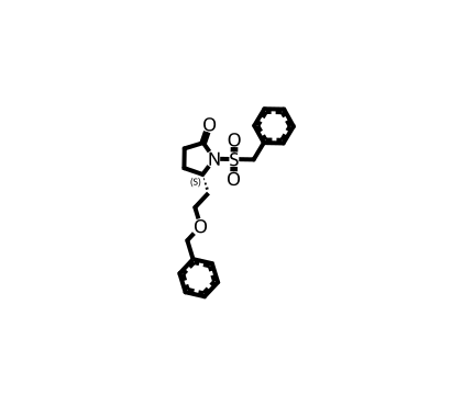 O=C1CC[C@@H](CCOCc2ccccc2)N1S(=O)(=O)Cc1ccccc1